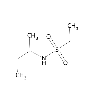 CCC(C)NS(=O)(=O)CC